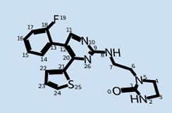 O=C1NCCN1CCNc1ncc(-c2ccccc2F)c(-c2cccs2)n1